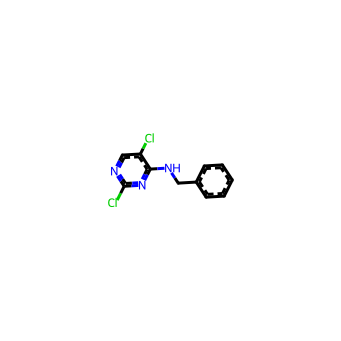 Clc1ncc(Cl)c(NCc2ccccc2)n1